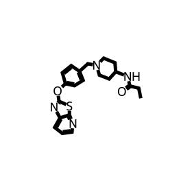 CCC(=O)NC1CCN(Cc2ccc(Oc3nc4cccnc4s3)cc2)CC1